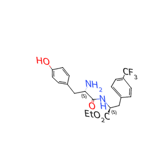 CCOC(=O)[C@H](Cc1ccc(C(F)(F)F)cc1)NC(=O)[C@@H](N)Cc1ccc(O)cc1